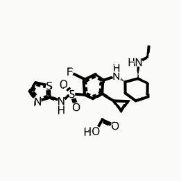 CCN[C@H]1CCCC[C@@H]1Nc1cc(F)c(S(=O)(=O)Nc2nccs2)cc1C1CC1.O=CO